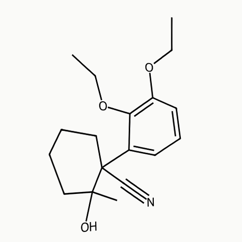 CCOc1cccc(C2(C#N)CCCCC2(C)O)c1OCC